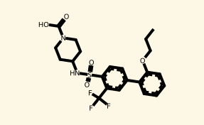 CCCOc1ccccc1-c1ccc(S(=O)(=O)NC2CCN(C(=O)O)CC2)c(C(F)(F)F)c1